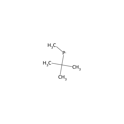 C[P]C(C)(C)C